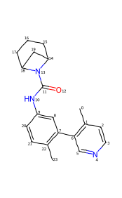 Cc1ccncc1-c1cc(NC(=O)N2C3CCCC2C3)ccc1C